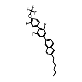 CCCCCCc1ccc2cc(-c3cc(F)c(-c4ccc(OC(F)(F)F)c(F)c4)c(F)c3)ccc2c1